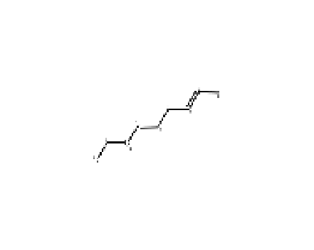 [CH2]CO/C=C/C/C=C/C